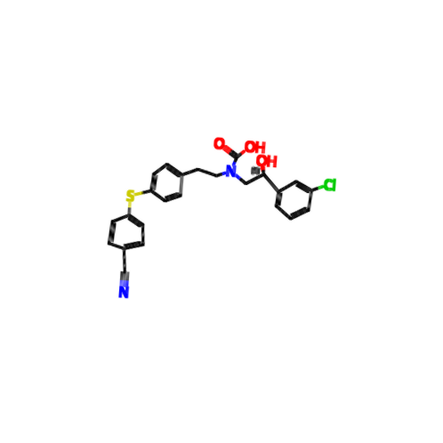 N#Cc1ccc(Sc2ccc(CCN(C[C@@H](O)c3cccc(Cl)c3)C(=O)O)cc2)cc1